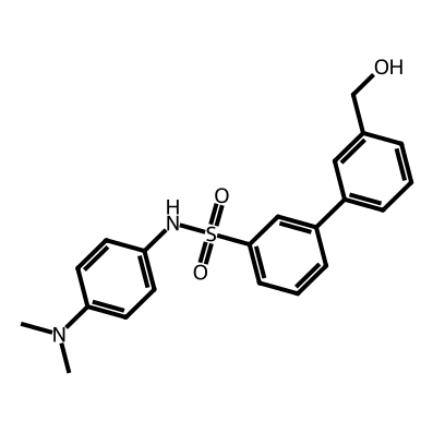 CN(C)c1ccc(NS(=O)(=O)c2cccc(-c3cccc(CO)c3)c2)cc1